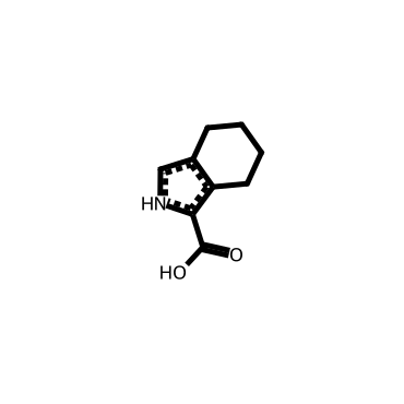 O=C(O)c1[nH]cc2c1CCCC2